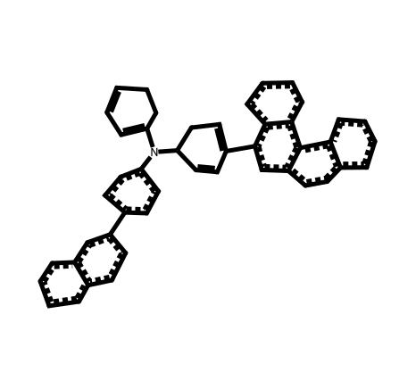 C1=CCCC(N(c2ccc(-c3ccc4ccccc4c3)cc2)C2C=CC(c3cc4ccc5ccccc5c4c4ccccc34)=CC2)=C1